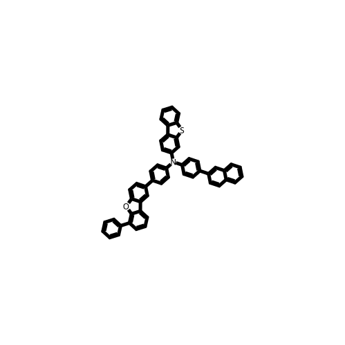 c1ccc(-c2cccc3c2oc2ccc(-c4ccc(N(c5ccc(-c6ccc7ccccc7c6)cc5)c5ccc6c(c5)sc5ccccc56)cc4)cc23)cc1